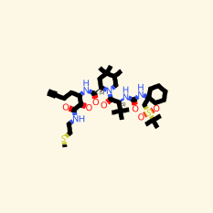 C#CCCC(NC(=O)[C@@H]1CC(C)(C)C(C)CN1C(=O)[C@@H](NC(=O)NC1(CS(=O)(=O)C(C)(C)C)CCCCC1)C(C)(C)C)C(=O)C(=O)NCCSC